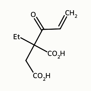 C=CC(=O)C(CC)(CC(=O)O)C(=O)O